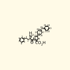 NC(CCc1ccccc1)C(=O)N1C[C@@H](N2CCN(Cc3ccccc3)CC2)C[C@H]1C(=O)O